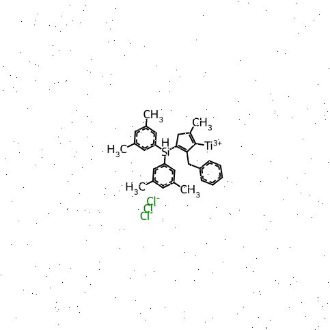 CC1=[C]([Ti+3])C(Cc2ccccc2)=C([SiH](c2cc(C)cc(C)c2)c2cc(C)cc(C)c2)C1.[Cl-].[Cl-].[Cl-]